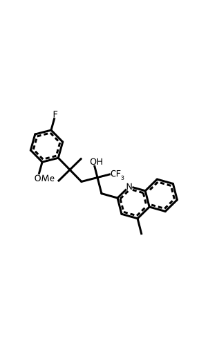 COc1ccc(F)cc1C(C)(C)CC(O)(Cc1cc(C)c2ccccc2n1)C(F)(F)F